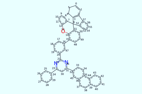 C1=CC2=C(CC1)C1(c3ccccc3Oc3c(-c4cccc(-c5nc(-c6ccccc6)cc(-c6ccc7c(ccc8ccccc87)c6)n5)c4)cccc31)c1ccccc12